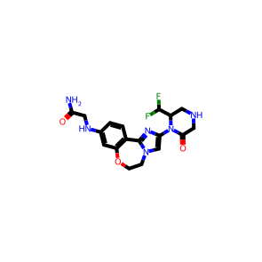 NC(=O)CNc1ccc2c(c1)OCCn1cc(N3C(=O)CNCC3C(F)F)nc1-2